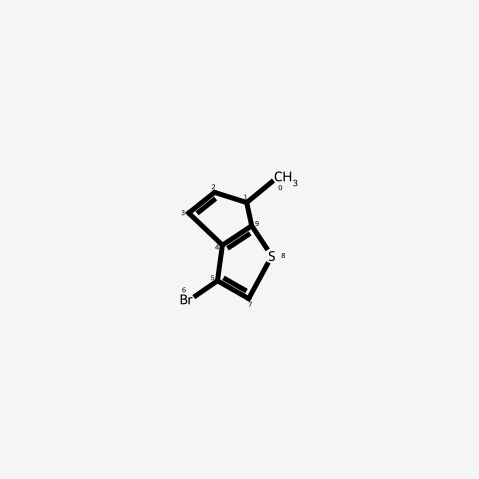 CC1C=Cc2c(Br)csc21